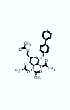 CC(=O)OC[C@H]1O[C@H](Oc2ccc(-c3cc[c]cc3)cc2)[C@@H](OC(C)=O)[C@@H](OC(C)=O)[C@@H]1OC(C)=O